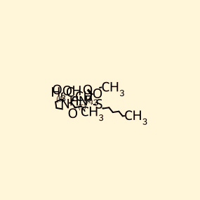 CCCCCCSC[C@H](N[C@@H](C)C(=O)C([C](C)C)N1CCC[C@H]1C(=O)O)C(=O)OCC